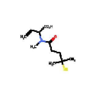 C=C[C@@H](C(=O)O)N(C)C(=O)CCC(C)(C)S